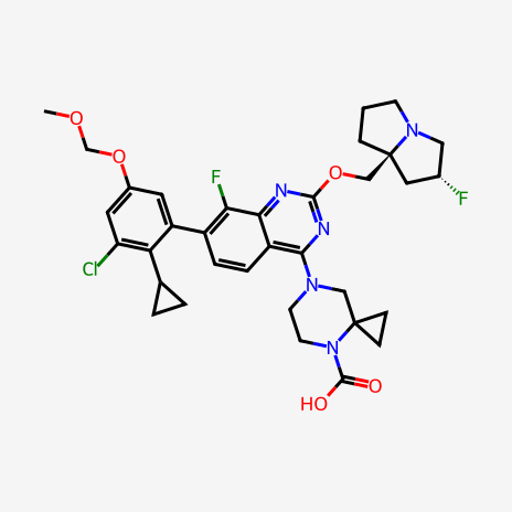 COCOc1cc(Cl)c(C2CC2)c(-c2ccc3c(N4CCN(C(=O)O)C5(CC5)C4)nc(OC[C@@]45CCCN4C[C@H](F)C5)nc3c2F)c1